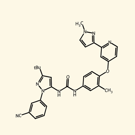 Cc1cc(NC(=O)Nc2cc(C(C)(C)C)nn2-c2cccc(C#N)c2)ccc1Oc1ccnc(-c2ccn(C)n2)c1